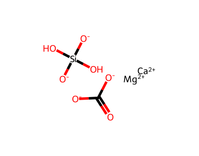 O=C([O-])[O-].[Ca+2].[Mg+2].[O-][Si]([O-])(O)O